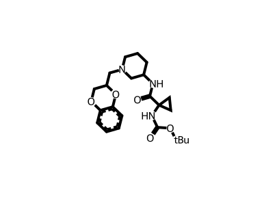 CC(C)(C)OC(=O)NC1(C(=O)NC2CCCN(CC3COc4ccccc4O3)C2)CC1